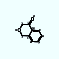 O=C1[CH]OCc2ccccc21